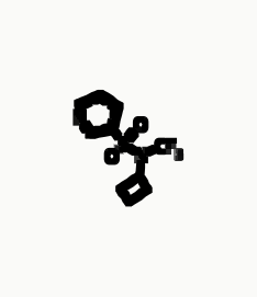 O=S(=O)(c1cccnc1)N(C1CCC1)C(F)(F)F